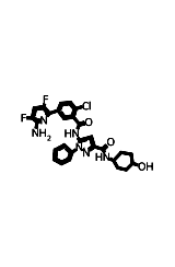 Nc1nc(-c2ccc(Cl)c(C(=O)Nc3cc(C(=O)NC4CCC(O)CC4)nn3-c3ccccc3)c2)c(F)cc1F